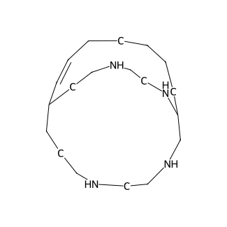 C1=CC2CCCNCCNCC(CCCCC1)NCCNCC2